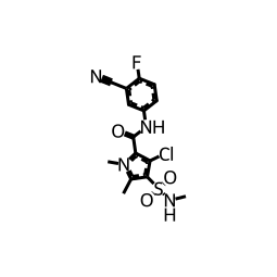 CNS(=O)(=O)c1c(Cl)c(C(=O)Nc2ccc(F)c(C#N)c2)n(C)c1C